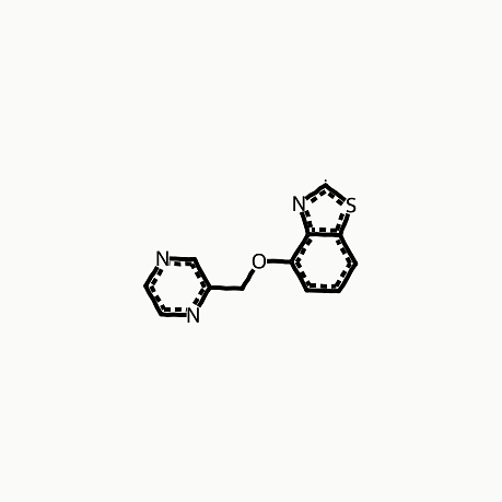 [c]1nc2c(OCc3cnccn3)cccc2s1